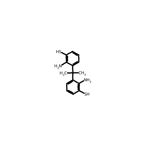 CC(C)(c1cccc(S)c1N)c1cccc(S)c1N